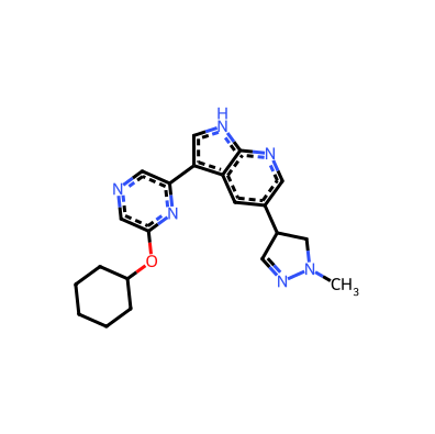 CN1CC(c2cnc3[nH]cc(-c4cncc(OC5CCCCC5)n4)c3c2)C=N1